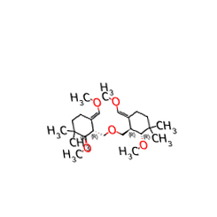 COC=C1CCC(C)(C)[C@H](OC)[C@H]1COC[C@H]1C(=COC)CCC(C)(C)[C@@H]1OC